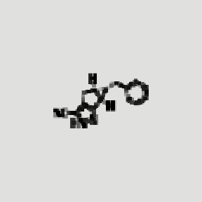 N#Cc1[nH]nc2c1C[C@H]1[C@H](Cc3ccccc3)[C@@H]21